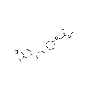 CCOC(=O)COc1ccc(C=CC(=O)c2ccc(Cl)c(Cl)c2)cc1